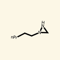 CCCCCN1CN1